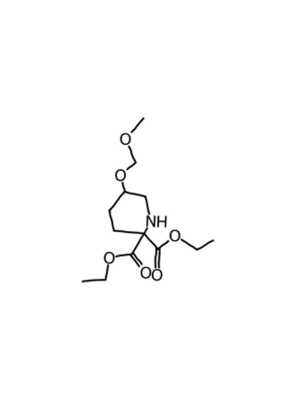 CCOC(=O)C1(C(=O)OCC)CCC(OCOC)CN1